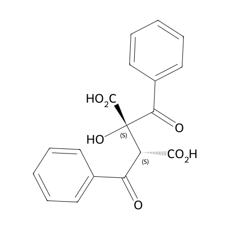 O=C(O)[C@H](C(=O)c1ccccc1)[C@@](O)(C(=O)O)C(=O)c1ccccc1